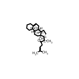 CC(C)=CCC(=O)[C@@H](C)[C@H]1CC[C@H]2[C@@H]3CC=C4CCCC[C@]4(C)[C@H]3CC[C@]12C